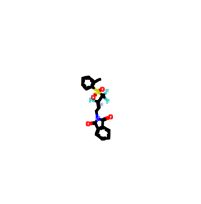 Cc1ccccc1S(=O)(=O)C(F)(F)/C(F)=C/CN1C(=O)c2ccccc2C1=O